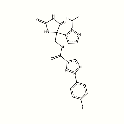 O=C1NC(=O)C(CNC(=O)c2cnn(-c3ccc(F)cc3)n2)(c2ccnn2C(F)F)N1